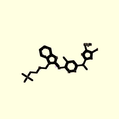 CCOC(=O)c1nc(N(C)c2cc(C)c(/N=c3\sc4ccccc4n3COCC[Si](C)(C)C)nn2)sc1I